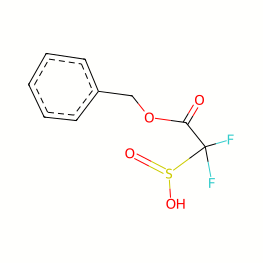 O=C(OCc1ccccc1)C(F)(F)S(=O)O